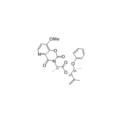 C=C(C)[C@H](OC(=O)[C@H](C)n1c(=O)oc2c(OC)ccnc2c1=O)[C@@H](C)Oc1ccccc1